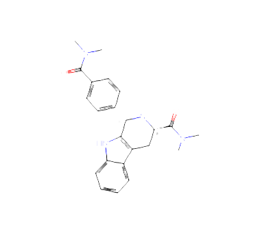 CC(C)N(C(=O)[C@H]1Cc2c([nH]c3ccccc23)[C@H](c2ccc(C(=O)N(C)C)cc2)N1)C(C)C